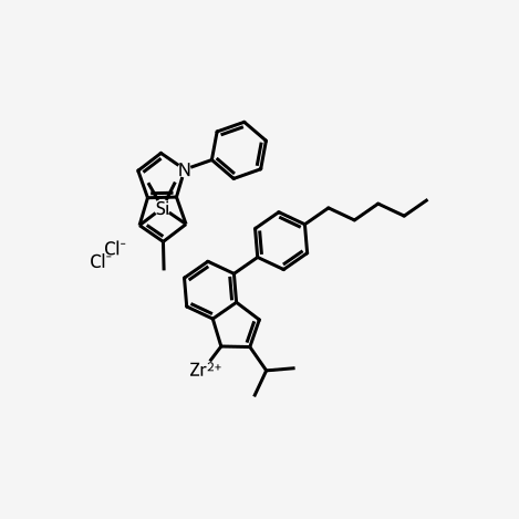 CC1=C2c3ccn(-c4ccccc4)c3C1[Si]2(C)C.CCCCCc1ccc(-c2cccc3c2C=C(C(C)C)[CH]3[Zr+2])cc1.[Cl-].[Cl-]